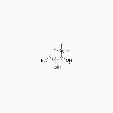 CCN=C([SiH3])C(O)[Si](C)(C)C